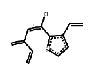 C=CC(=C)/C=C(/Cl)c1sccc1C=C